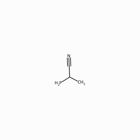 CC(P)C#N